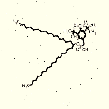 CCCCCCCCCCCCCCCCCCC(CCCCCCCCCCCCCCCCC)OP(=O)(O)Cc1cc(C(C)(C)C)c(O)c(C(C)(C)C)c1